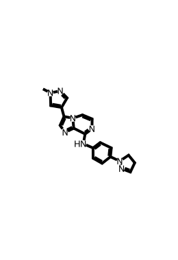 Cn1cc(-c2cnc3c(Nc4ccc(N5CCC=N5)cc4)nccn23)cn1